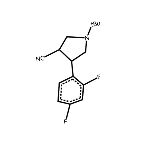 CC(C)(C)N1CC(C#N)C(c2ccc(F)cc2F)C1